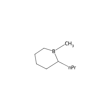 CCCC1CCCCB1C